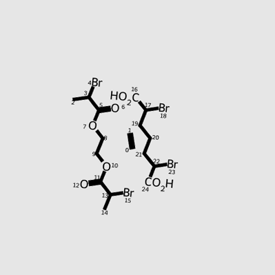 C=C.CC(Br)C(=O)OCCOC(=O)C(C)Br.O=C(O)C(Br)CCCC(Br)C(=O)O